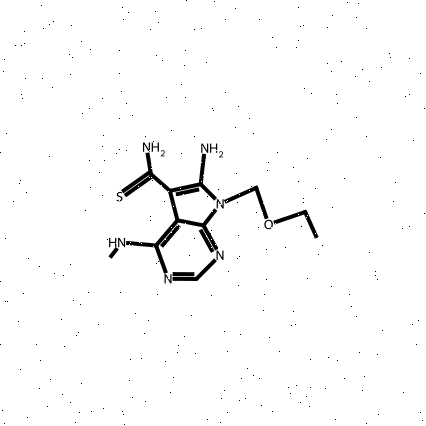 CCOCn1c(N)c(C(N)=S)c2c(NC)ncnc21